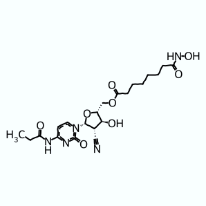 CCC(=O)Nc1ccn([C@@H]2O[C@H](COC(=O)CCCCCCC(=O)NO)[C@@H](O)[C@@H]2C#N)c(=O)n1